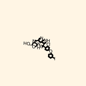 N#Cc1cnc2[nH]cc(C(=O)c3ccc(Oc4cccc(I)c4)cc3Cl)c2c1N[C@@H]1CC[C@@H](CO)OC1